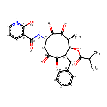 CC(C)C(=O)O[C@@H]1[C@H](C)C(=O)C(=O)[C@@H](NC(=O)c2cccnc2O)CC(=O)C(=O)[C@@H]1Cc1ccccc1